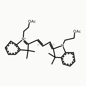 CC(=O)OCCN1/C(=C/C=C/C2=[N+](CCOC(C)=O)c3ccccc3C2(C)C)C(C)(C)c2ccccc21